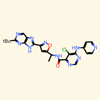 CC(NC(=O)c1ncnc(Nc2ccncc2)c1Cl)c1cc(-c2nc3cnc(C(C)(C)C)nc3[nH]2)no1